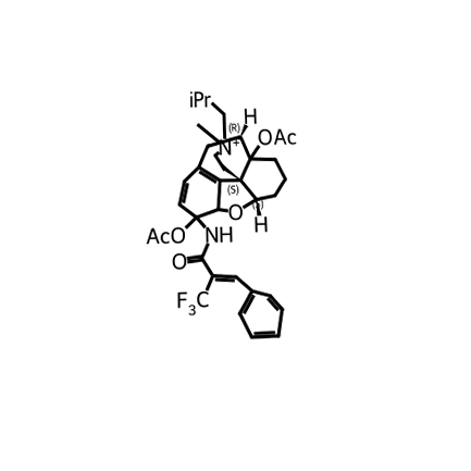 CC(=O)OC1(NC(=O)C(=Cc2ccccc2)C(F)(F)F)C=CC2=C3C1O[C@H]1CCCC4(OC(C)=O)[C@@H](C2)[N+](C)(CC(C)C)CC[C@]314